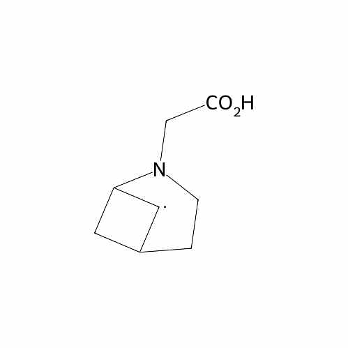 O=C(O)CN1CCC2[CH]C1C2